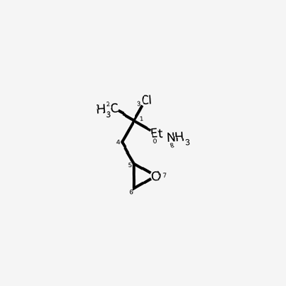 CCC(C)(Cl)CC1CO1.N